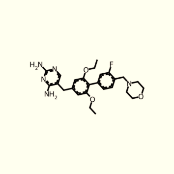 CCOc1cc(Cc2cnc(N)nc2N)cc(OCC)c1-c1ccc(CN2CCOCC2)c(F)c1